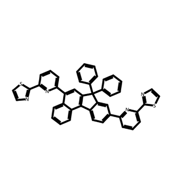 c1ccc(C2(c3ccccc3)c3cc(-c4cccc(-c5nccs5)n4)ccc3-c3c2cc(-c2cccc(-c4nccs4)n2)c2ccccc32)cc1